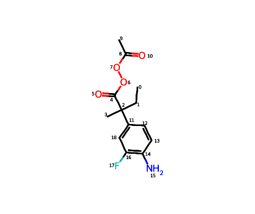 CCC(C)(C(=O)OOC(C)=O)c1ccc(N)c(F)c1